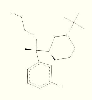 CC(C)(C)N1CCC[C@@H]([C@@](C)(OCCO)c2cccc(Cl)c2)C1